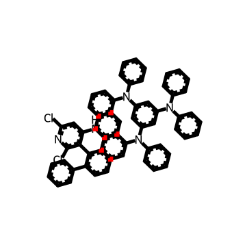 Clc1cc(Nc2cccc(N(c3ccccc3)c3cc(N(c4ccccc4)c4ccccc4)cc(N(c4ccccc4)c4ccccc4)c3)c2)c(-c2c(-c3ccccc3)cccc2-c2ccccc2)c(Cl)n1